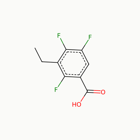 CCc1c(F)c(F)cc(C(=O)O)c1F